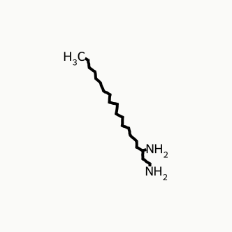 CCCCCCCCCCCCCCCCCC(N)CCN